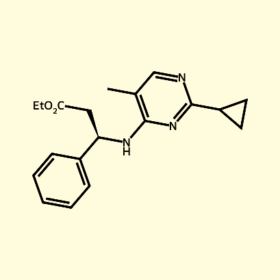 CCOC(=O)C[C@@H](Nc1nc(C2CC2)ncc1C)c1ccccc1